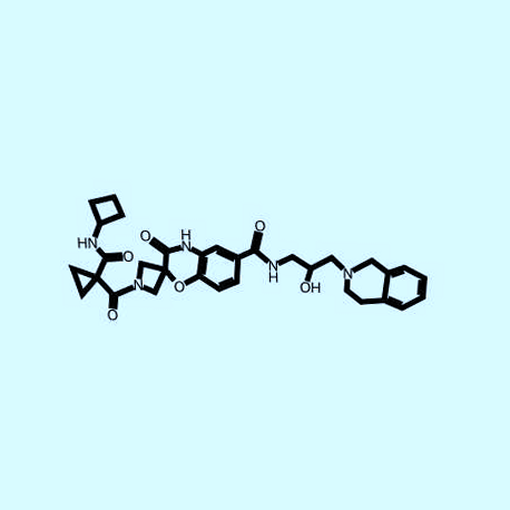 O=C(NCC(O)CN1CCc2ccccc2C1)c1ccc2c(c1)NC(=O)C1(CN(C(=O)C3(C(=O)NC4CCC4)CC3)C1)O2